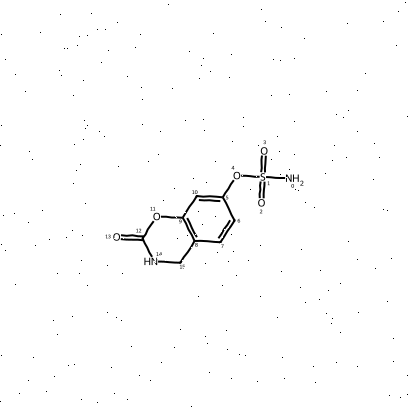 NS(=O)(=O)Oc1ccc2c(c1)OC(=O)NC2